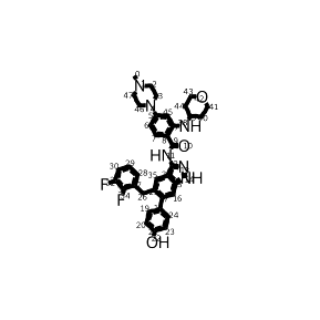 CN1CCN(c2ccc(C(=O)Nc3n[nH]c4cc(-c5ccc(O)cc5)c(Cc5cccc(F)c5F)cc34)c(NC3CCOCC3)c2)CC1